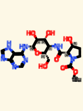 CC(C)(C)OC(=O)N1CC[C@H](O)[C@H]1C(=O)N[C@@H]1[C@@H](O)[C@H](O)[C@@H](Nc2ncnc3nc[nH]c23)O[C@H]1CO